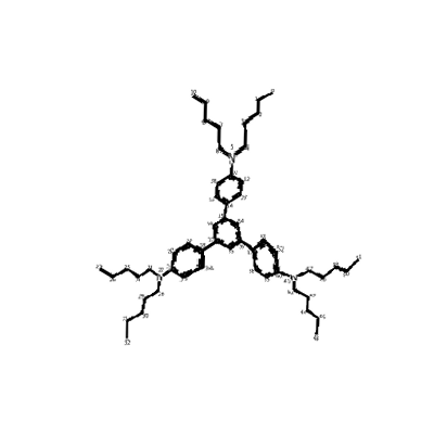 CCCCCN(CCCCC)c1ccc(-c2cc(-c3ccc(N(CCCCC)CCCCC)cc3)cc(-c3ccc(N(CCCCC)CCCCC)cc3)c2)cc1